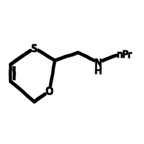 CCCNCC1OCC=CS1